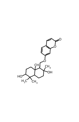 CC1(O)CCC2C(C)(C)C(O)CCC2(C)C1COc1ccc2ccc(=O)oc2c1